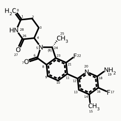 C=C1CCC(N2C(=O)c3ccc(-c4cc(C)c(F)c(N)n4)c(F)c3[C@H]2C)C(=O)N1